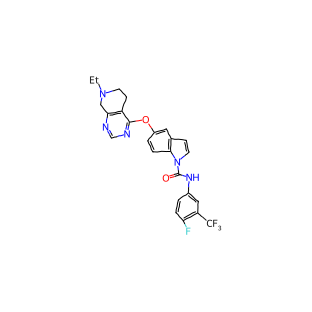 CCN1CCc2c(ncnc2Oc2ccc3c(ccn3C(=O)Nc3ccc(F)c(C(F)(F)F)c3)c2)C1